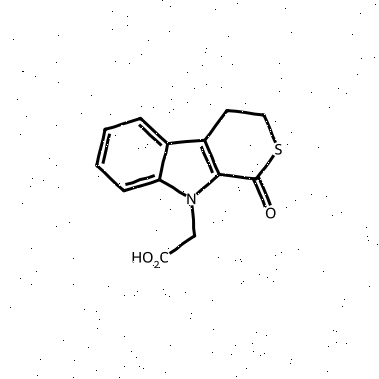 O=C(O)Cn1c2c(c3ccccc31)CCSC2=O